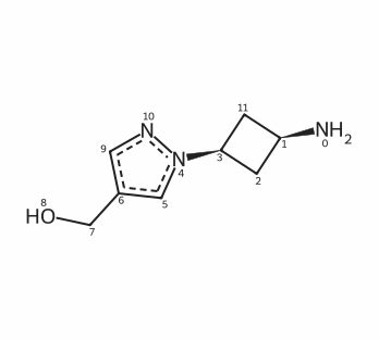 N[C@H]1C[C@@H](n2cc(CO)cn2)C1